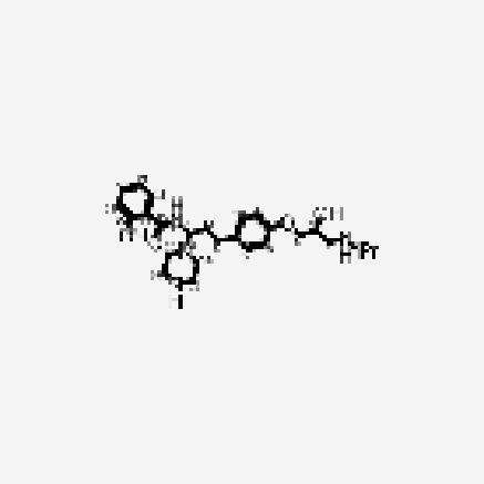 CC(C)NCC(O)COc1ccc(CCC(NC(=O)c2ccccc2O)N2CCNCC2)cc1